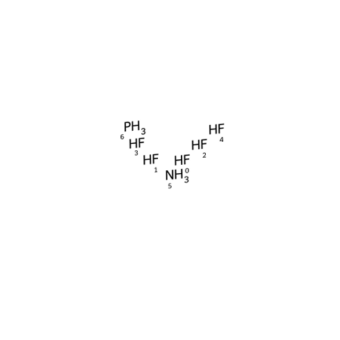 F.F.F.F.F.N.P